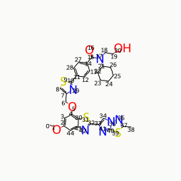 COc1cc(OCc2csc(-c3ccc(C(=O)N(CCO)C4CCCCC4)cc3)n2)c2sc(-c3cn4nc(C)sc4n3)nc2c1